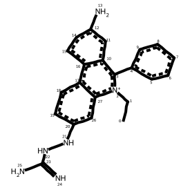 CC[n+]1c(-c2ccccc2)c2cc(N)ccc2c2ccc(NNC(=N)N)cc21